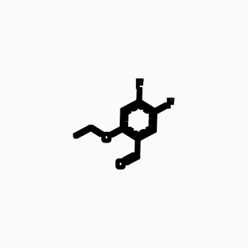 CCOc1cc(F)c(F)cc1C=O